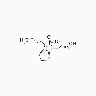 CCCCOP(=O)(O)C(CC=NO)c1ccccc1